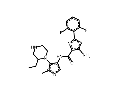 CCC1CNCCN1c1c(NC(=O)c2nc(-c3c(F)cccc3F)sc2N)cnn1C